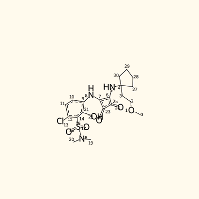 COCCC1(Nc2c(Nc3ccc(Cl)c(S(=O)(=O)N(C)C)c3O)c(=O)c2=O)CCCC1